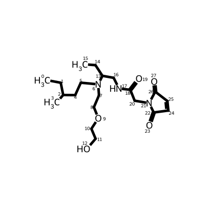 CCC(C)CCN(CCOCCO)C(CC)CNC(=O)CN1C(=O)C=CC1=O